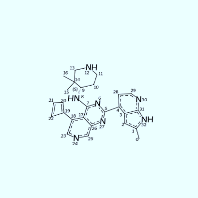 Cc1cc2c(-c3nc(N[C@H]4CCNCC4(C)C)c4c(C5=CC=C5)cncc4n3)ccnc2[nH]1